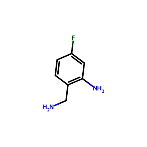 NCc1ccc(F)cc1N